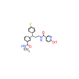 CNC(=O)c1cccc(C(CCNC(=O)c2ccc(O)nc2)c2ccc(F)cc2)c1